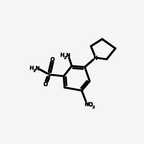 Nc1c(N2CCCC2)cc([N+](=O)[O-])cc1S(N)(=O)=O